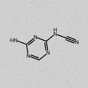 N#CNc1ncnc([NH])n1